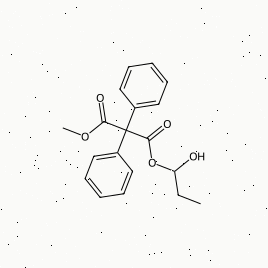 CCC(O)OC(=O)C(C(=O)OC)(c1ccccc1)c1ccccc1